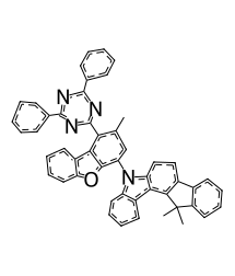 Cc1cc(-n2c3ccccc3c3c4c(ccc32)-c2ccccc2C4(C)C)c2oc3ccccc3c2c1-c1nc(-c2ccccc2)nc(-c2ccccc2)n1